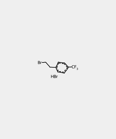 Br.FC(F)(F)c1ccc(CCBr)cc1